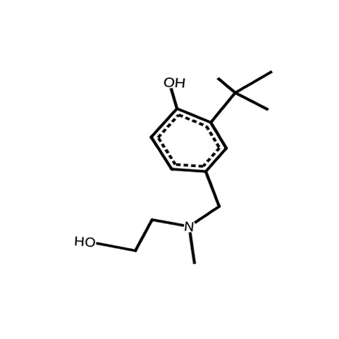 CN(CCO)Cc1ccc(O)c(C(C)(C)C)c1